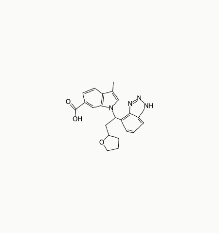 Cc1cn(C(CC2CCCO2)c2cccc3[nH]nnc23)c2cc(C(=O)O)ccc12